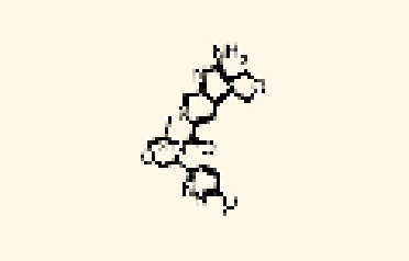 COc1ccc([C@H]2COC[C@@H](C)N2C(=O)c2cc3c4c(c(N)nc3cn2)COC4)nn1